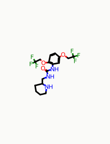 O=C(NCC1CCCCN1)Nc1cc(OCC(F)(F)F)ccc1OCC(F)(F)F